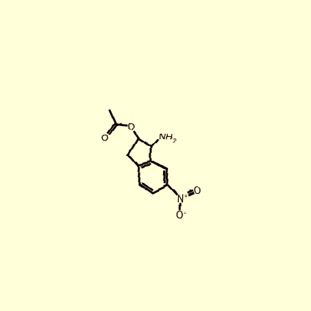 CC(=O)OC1Cc2ccc([N+](=O)[O-])cc2C1N